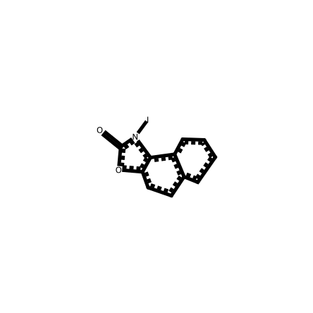 O=c1oc2ccc3ccccc3c2n1I